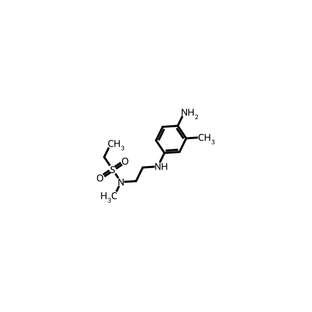 CCS(=O)(=O)N(C)CCNc1ccc(N)c(C)c1